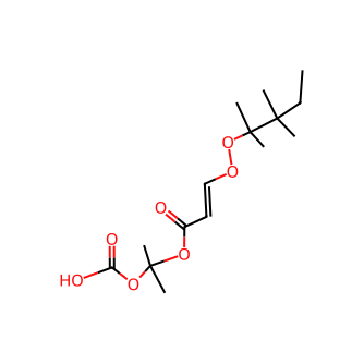 CCC(C)(C)C(C)(C)OOC=CC(=O)OC(C)(C)OC(=O)O